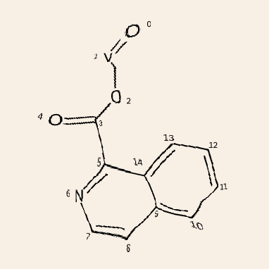 [O]=[V][O]C(=O)c1nccc2ccccc12